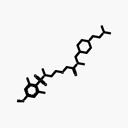 COc1cc(C)c(S(=O)(=O)N(C)CCOCC(=O)N(C)CC2CCN(CCN(C)C)CC2)c(C)c1